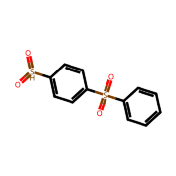 O=[SH](=O)c1ccc(S(=O)(=O)c2ccccc2)cc1